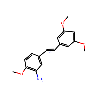 COc1cc(/C=C/c2ccc(OC)c(N)c2)cc(OC)c1